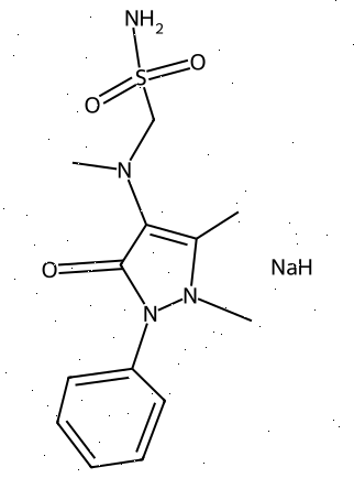 Cc1c(N(C)CS(N)(=O)=O)c(=O)n(-c2ccccc2)n1C.[NaH]